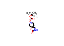 CC(C)(C)OC(=O)ON1CCC2(CC1)CNC(=O)O2